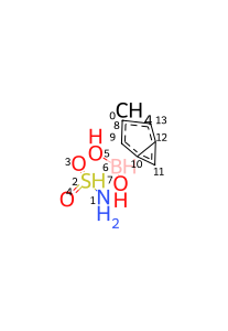 C.N[SH](=O)=O.OBO.c1cc2cc-2c1